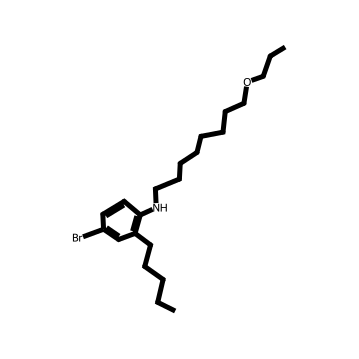 CCCCCc1cc(Br)ccc1NCCCCCCCCOCCC